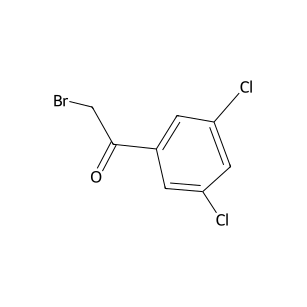 O=C(CBr)c1cc(Cl)cc(Cl)c1